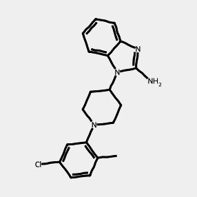 Cc1ccc(Cl)cc1N1CCC(n2c(N)nc3ccccc32)CC1